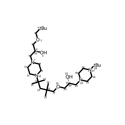 CC(C)(C)COC[C@@H](O)CN1CCN(C(C)(C)CC(C)(C)COC[C@H](O)CN2CCN(C(C)(C)C)CC2)CC1